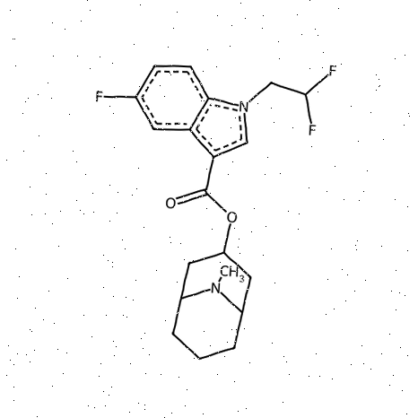 CN1C2CCCC1CC(OC(=O)c1cn(CC(F)F)c3ccc(F)cc13)C2